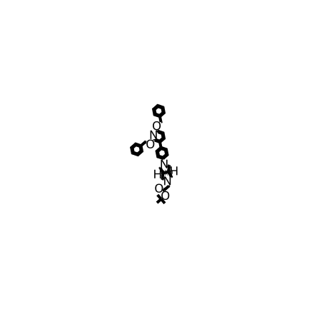 CC(C)(C)OC(=O)CN1C[C@@H]2CN(c3ccc(-c4ccc(OCc5ccccc5)nc4OCc4ccccc4)cc3)C[C@H]2C1